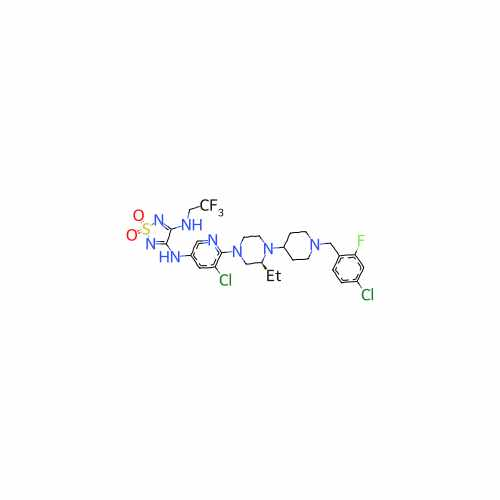 CC[C@H]1CN(c2ncc(NC3=NS(=O)(=O)N=C3NCC(F)(F)F)cc2Cl)CCN1C1CCN(Cc2ccc(Cl)cc2F)CC1